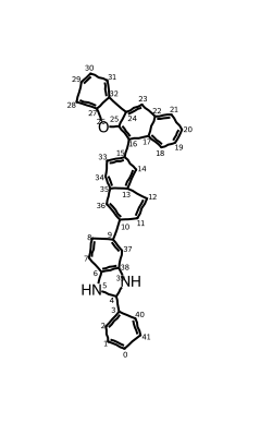 c1ccc(C2Nc3ccc(-c4ccc5cc(-c6c7ccccc7cc7c6oc6ccccc67)ccc5c4)cc3N2)cc1